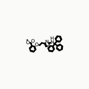 COC(=O)c1ccccc1OCCc1csc(NC(c2ccccc2)(c2ccccc2)c2ccccc2)n1